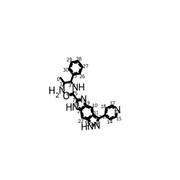 CC(N)C(NC(=O)c1nc2cc3c(-c4ccncc4)n[nH]c3cc2[nH]1)c1ccccc1